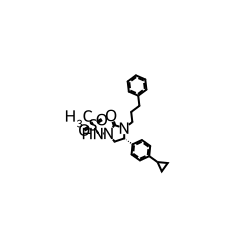 CS(=O)(=O)NN1C[C@@H](c2ccc(C3CC3)cc2)N(CCCc2ccccc2)C1=O